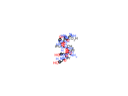 CC(C)C[C@H](NC(=O)CNC(=O)[C@H](C)NC(=O)[C@@H](NC(=O)[C@H](CC(N)=O)NC(=O)[C@H](Cc1ccc(O)cc1)NC(=O)[C@@H](NC(=O)[C@@H](N)Cc1ccc(O)cc1)C(C)C)C(C)C)C(=O)N[C@@H](Cc1ccc(O)cc1)C(=O)N[C@H](C(=O)N[C@@H](Cc1c[nH]cn1)C(=O)N[C@@H](Cc1c[nH]cn1)C(=O)O)C(C)C